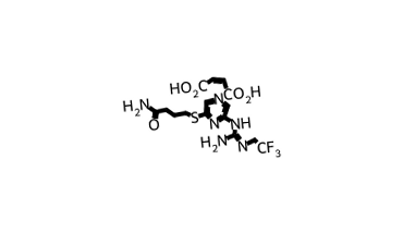 NC(=O)CCCSc1cncc(N/C(N)=N\CC(F)(F)F)n1.O=C(O)/C=C\C(=O)O